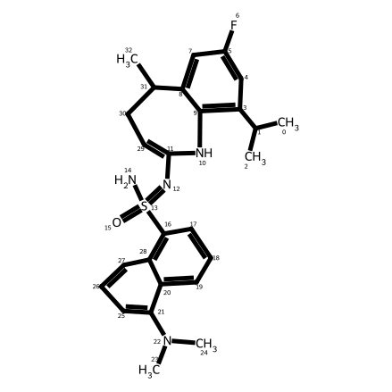 CC(C)c1cc(F)cc2c1NC(N=S(N)(=O)c1cccc3c(N(C)C)cccc13)=CCC2C